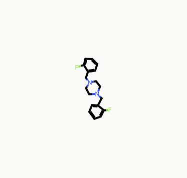 Fc1ccccc1CN1CCN(Cc2ccccc2F)CC1